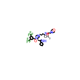 C/C(CCCN1CCN(C(=O)c2cc(C(F)(F)F)cc(C(F)(F)F)c2)[C@H](Cc2c[nH]c3ccccc23)C1)=N\OCCN1CCOCC1